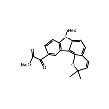 CCCCCCn1c2ccc(C(=O)C(=O)OC)cc2c2c3c(ccc21)C=CC(C)(C)O3